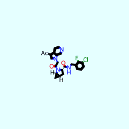 CC(=O)c1cn(CC(=O)N2[C@@H]3C[C@@H]3C[C@H]2C(=O)NCc2cccc(Cl)c2F)c2cnccc12